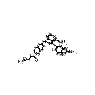 CCOCCC(=O)N1CCc2cc(Cn3nc(-c4ccc5oc(N)nc5c4)c4c(N)ncnc43)ccc2C1